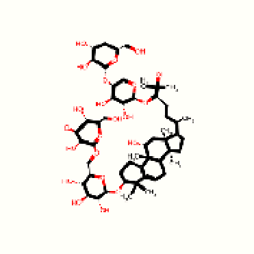 C[C@H](CC[C@@H](O[C@@H]1OC[C@@H](O[C@H]2O[C@@H](CO)C[C@@H](O)[C@@H]2O)[C@H](O)[C@H]1O)C(C)(C)O)C1CC[C@@]2(C)C3CC=C4C(CC[C@H](O[C@@H]5O[C@H](CO[C@@H]6O[C@H](CO)[C@@H](O)[C@H](O)[C@H]6O)[C@@H](O)[C@H](O)[C@H]5O)C4(C)C)[C@]3(C)[C@H](O)C[C@]12C